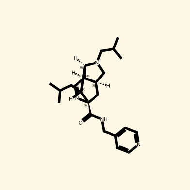 CC(C)C[C@@H]1[C@@H]2[C@@H]3C=N[C@@]1(C(=O)NCc1ccncc1)C[C@@H]3CN2CC(C)C